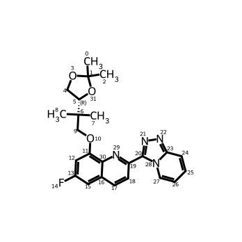 CC1(C)OC[C@@H](C(C)(C)COc2cc(F)cc3ccc(-c4nnc5ccccn45)nc23)O1